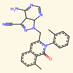 Cc1ccccc1-n1c(CN2N=C(C#N)C3C(N)=NC=NC32)cc2cccc(C)c2c1=O